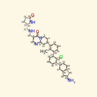 Cc1c(-c2ccn3c(=O)c(CNC[C@@H]4CCC(=O)N4)cnc3c2)cccc1-c1cccc(-c2ccc3c(c2)C=C(N)C3)c1Cl